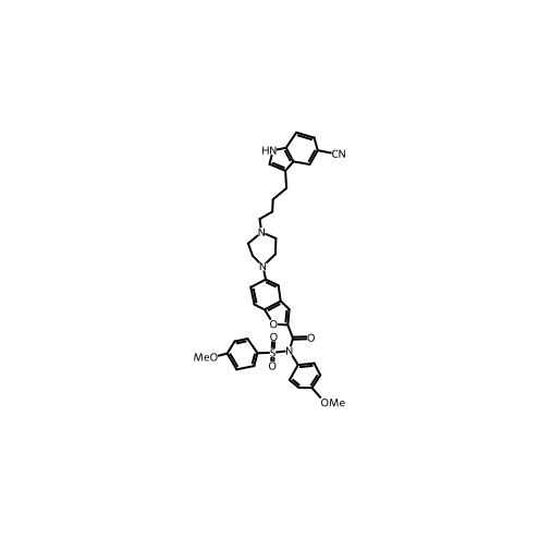 COc1ccc(N(C(=O)c2cc3cc(N4CCN(CCCCc5c[nH]c6ccc(C#N)cc56)CC4)ccc3o2)S(=O)(=O)c2ccc(OC)cc2)cc1